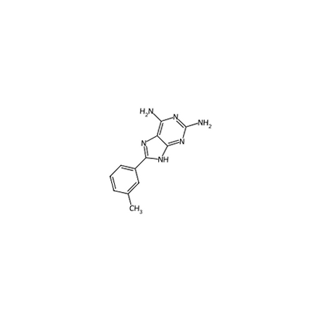 Cc1cccc(-c2nc3c(N)nc(N)nc3[nH]2)c1